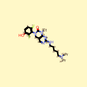 CCN1C(=O)N(c2c(F)ccc(O)c2F)Cc2cnc(NCCCCCN(C(C)C)C(C)C)nc21